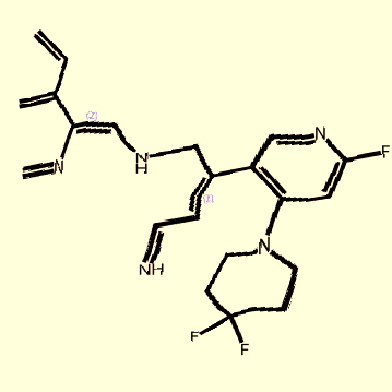 C=CC(=C)/C(=C/NC/C(=C\C=N)c1cnc(F)cc1N1CCC(F)(F)CC1)N=C